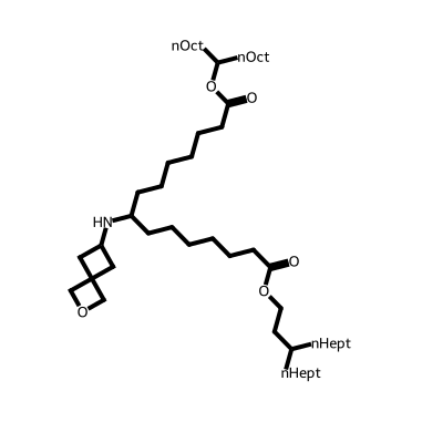 CCCCCCCCC(CCCCCCCC)OC(=O)CCCCCCC(CCCCCCC(=O)OCCC(CCCCCCC)CCCCCCC)NC1CC2(COC2)C1